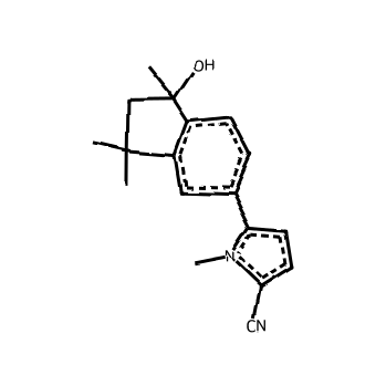 Cn1c(C#N)ccc1-c1ccc2c(c1)C(C)(C)CC2(C)O